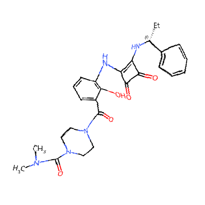 CC[C@@H](Nc1c(Nc2cccc(C(=O)N3CCN(C(=O)N(C)C)CC3)c2O)c(=O)c1=O)c1ccccc1